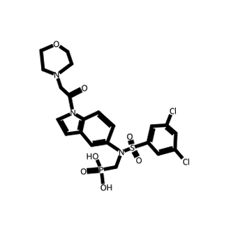 O=C(CN1CCOCC1)n1ccc2cc(N(CP(=O)(O)O)S(=O)(=O)c3cc(Cl)cc(Cl)c3)ccc21